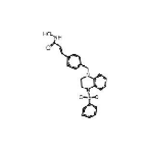 O=C(C=Cc1ccc(CN2CCN(S(=O)(=O)c3ccccc3)c3ccccc32)cc1)NO